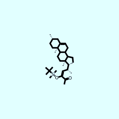 CC(=O)/C(=C\[C@@H](C)[C@H]1CCC2C3CC=C4C[C@@H](C)CC[C@]4(C)C3CC[C@@]21C)O[Si](C)(C)C(C)(C)C